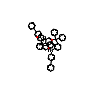 CC1(c2ccccc2)C=CC2(C)C3=C1C(C)(N(c1ccc(-c4ccccc4)cc1)c1ccccc1-c1ccccc1)C=C1C3(C)c3c(cccc3C1(c1ccccc1)c1ccccc1)N2c1ccc(-c2ccccc2)cc1